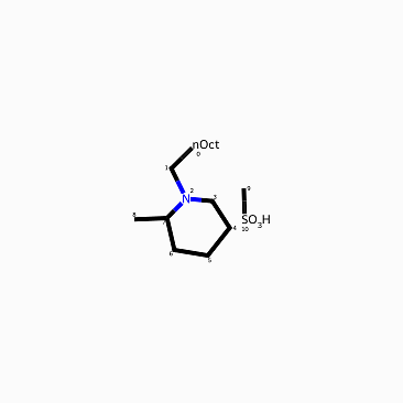 CCCCCCCCCN1CCCCC1C.CS(=O)(=O)O